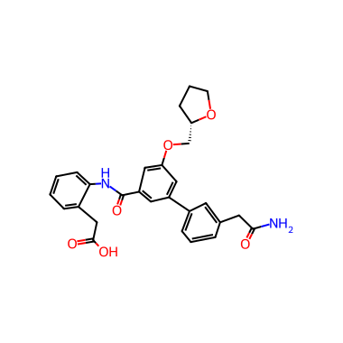 NC(=O)Cc1cccc(-c2cc(OC[C@@H]3CCCO3)cc(C(=O)Nc3ccccc3CC(=O)O)c2)c1